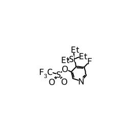 CC[Si](CC)(CC)c1c(F)cncc1OS(=O)(=O)C(F)(F)F